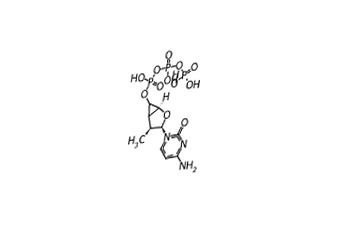 C[C@H]1C2C(OP(=O)(O)OP(=O)(O)OP(=O)(O)O)[C@H]2O[C@H]1n1ccc(N)nc1=O